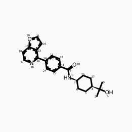 CC(C)(O)[C@H]1CC[C@@H](NC(=O)c2ccc(-c3nccc4occc34)cc2)CC1